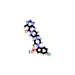 CCO[C@@H]1Cc2cc(Br)ccc2C1N1CCN(C2(C)CCN(C(=O)c3c(C)ncnc3C)CC2)C[C@@H]1C